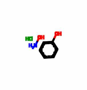 Cl.NO.Oc1ccccc1